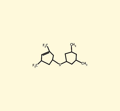 CC1CC(C)CC(SC2CC(C(F)(F)F)=CC(C(F)(F)F)C2)C1